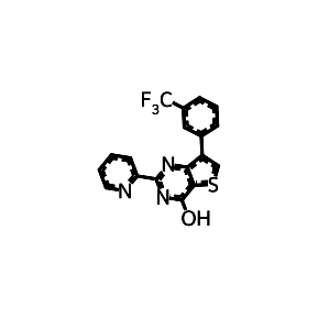 Oc1nc(-c2ccccn2)nc2c(-c3cccc(C(F)(F)F)c3)csc12